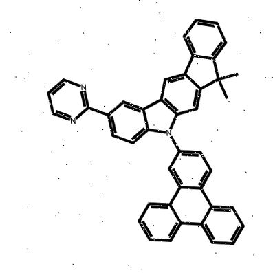 CC1(C)c2ccccc2-c2cc3c4cc(-c5ncccn5)ccc4n(-c4ccc5c6ccccc6c6ccccc6c5c4)c3cc21